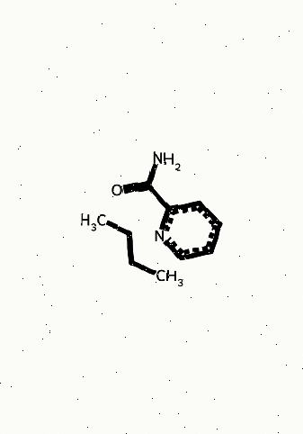 CCCC.NC(=O)c1ccccn1